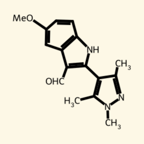 COc1ccc2[nH]c(-c3c(C)nn(C)c3C)c(C=O)c2c1